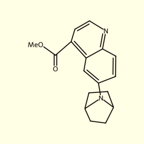 COC(=O)c1ccnc2ccc(N3C4CCC3CC4)cc12